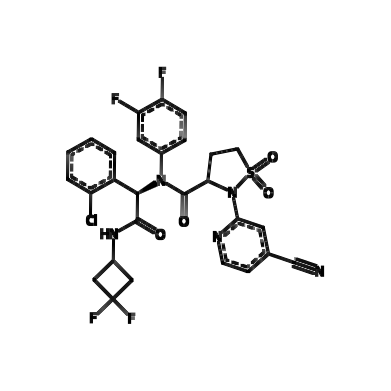 N#Cc1ccnc(N2C(C(=O)N(c3ccc(F)c(F)c3)[C@@H](C(=O)NC3CC(F)(F)C3)c3ccccc3Cl)CCS2(=O)=O)c1